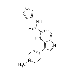 CN1CC=C(c2cnc3ccc(C(=O)Nc4ccoc4)[nH]c2-3)CC1